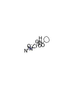 N#C/[N+]([O-])=N/c1ccc(S(=O)(=O)NC(=O)C2CCCCCCC2)cc1